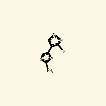 Nc1nc(-c2conc2Br)cs1